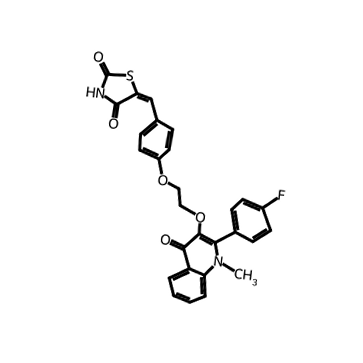 Cn1c(-c2ccc(F)cc2)c(OCCOc2ccc(/C=C3/SC(=O)NC3=O)cc2)c(=O)c2ccccc21